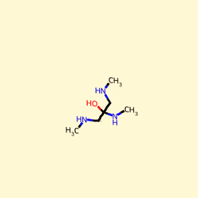 CN[CH]C(O)(CNC)NC